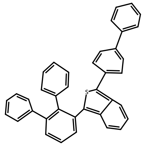 c1ccc(-c2ccc(-c3sc(-c4cccc(-c5ccccc5)c4-c4ccccc4)c4ccccc34)cc2)cc1